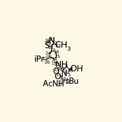 CC(=O)N[C@H](C(=O)N1C[C@H](O)C[C@H]1C(=O)NCc1ccc(-c2scnc2C)cc1CC(C)C)C(C)(C)C